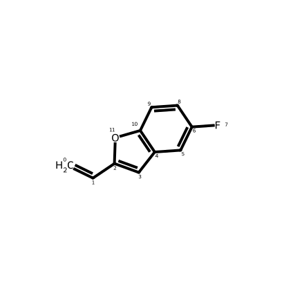 C=Cc1cc2cc(F)ccc2o1